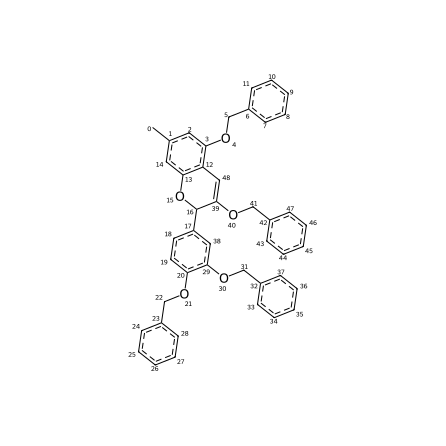 Cc1cc(OCc2ccccc2)c2c(c1)OC(c1ccc(OCc3ccccc3)c(OCc3ccccc3)c1)C(OCc1ccccc1)=C2